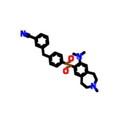 CN1CCc2cc(N(C)C)c(S(=O)(=O)c3ccc(Cc4cccc(C#N)c4)cc3)cc2CC1